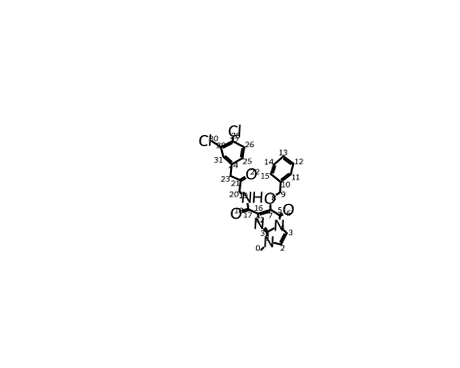 Cn1ccn2c(=O)c(OCc3ccccc3)c(C(=O)NCC(=O)Cc3ccc(Cl)c(Cl)c3)nc12